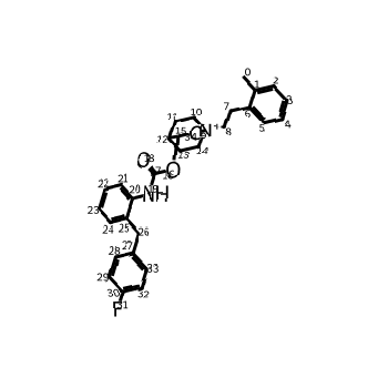 Cc1ccccc1CC[N+]12CCC(CC1)C(OC(=O)Nc1ccccc1Cc1ccc(F)cc1)C2